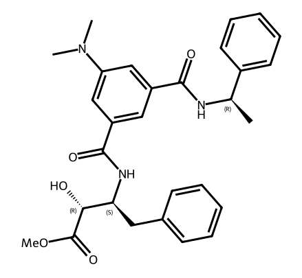 COC(=O)[C@H](O)[C@H](Cc1ccccc1)NC(=O)c1cc(C(=O)N[C@H](C)c2ccccc2)cc(N(C)C)c1